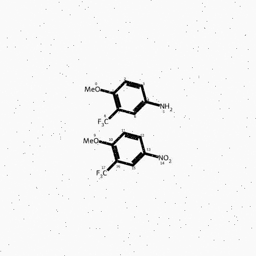 COc1ccc(N)cc1C(F)(F)F.COc1ccc([N+](=O)[O-])cc1C(F)(F)F